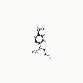 CN(CCCl)c1ccc(C=O)cc1